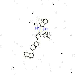 CC1(C)C2=C(NC3C(N2)c2ccc(-c4ccc5c(c4)CCC(c4cccc6ccccc46)=C5)cc2C3(C)C)c2ccccc21